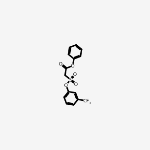 O=C(CS(=O)(=O)Oc1cccc(C(F)(F)F)c1)Oc1ccccc1